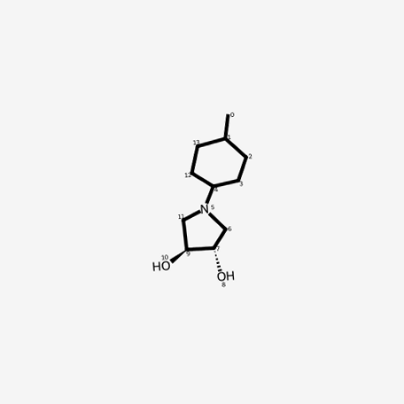 CC1CCC(N2C[C@H](O)[C@@H](O)C2)CC1